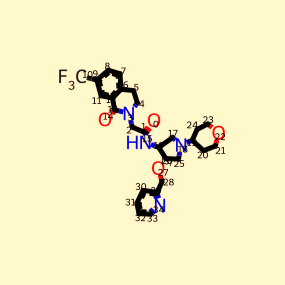 O=C(CN1CCc2ccc(C(F)(F)F)cc2C1=O)NC1CN(C2CCOCC2)C[C@@H]1OCc1ccccn1